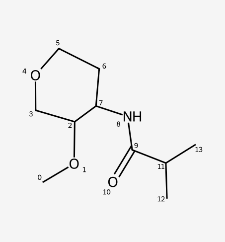 COC1COCCC1NC(=O)C(C)C